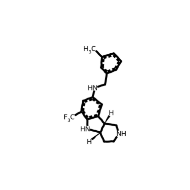 Cc1cccc(CNc2cc3c(c(C(F)(F)F)c2)N[C@H]2CCNC[C@@H]32)c1